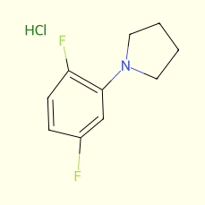 Cl.Fc1ccc(F)c(N2CCCC2)c1